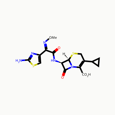 CO/N=C(\C(=O)N[C@@H]1C(=O)N2C(C(=O)O)=C(C3CC3)CS[C@H]12)c1csc(N)n1